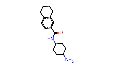 NC1CCC(NC(=O)c2ccc3c(c2)CCCC3)CC1